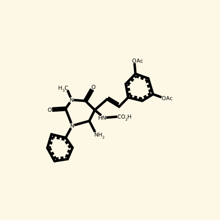 CC(=O)Oc1cc(C=CC2(NC(=O)O)C(=O)N(C)C(=O)N(c3ccccc3)C2N)cc(OC(C)=O)c1